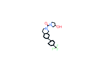 O=C(N1CCc2ccc(-c3ccc(C(F)(F)F)cc3)cc2C1)N1CCC(O)C1